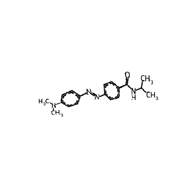 CC(C)NC(=O)c1ccc(/N=N/c2ccc(N(C)C)cc2)cc1